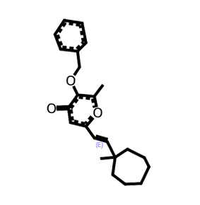 Cc1oc(/C=C/C2(C)CCCCCC2)cc(=O)c1OCc1ccccc1